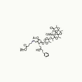 COCOC(=O)C(C)OC(=O)C(C)OC(=O)C(C)OC(=O)C(C)OC(=O)C(C)OC(=O)O[C@@H]1C[C@H](OC(C)=O)[C@H](C/C=C\CCCC(=O)OC(C)C)[C@H]1CC[C@@H](O)CCc1ccccc1